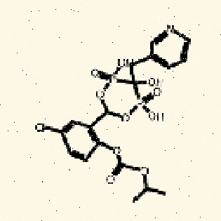 CC(C)OC(=O)Oc1ccc(Cl)cc1C1OP(=O)(O)C(O)(Cc2cccnc2)P(=O)(O)O1